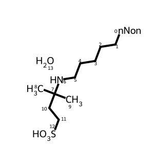 CCCCCCCCCCCCCCNC(C)(C)CCS(=O)(=O)O.O